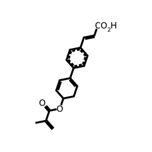 C=C(C)C(=O)OC1C=CC(c2ccc(/C=C/C(=O)O)cc2)=CC1